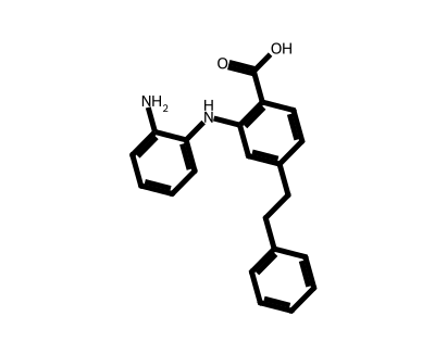 Nc1ccccc1Nc1cc(CCc2ccccc2)ccc1C(=O)O